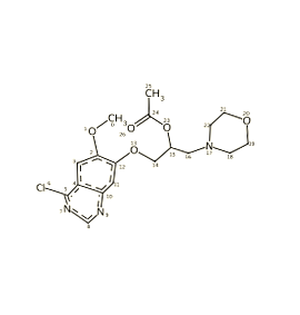 COc1cc2c(Cl)ncnc2cc1OCC(CN1CCOCC1)OC(C)=O